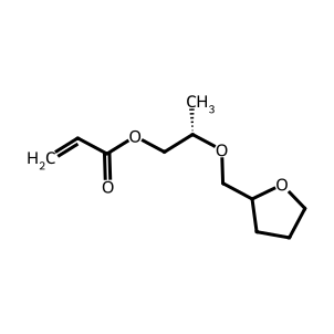 C=CC(=O)OC[C@H](C)OCC1CCCO1